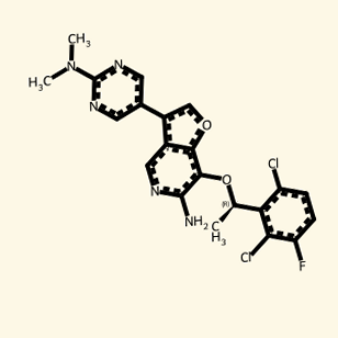 C[C@@H](Oc1c(N)ncc2c(-c3cnc(N(C)C)nc3)coc12)c1c(Cl)ccc(F)c1Cl